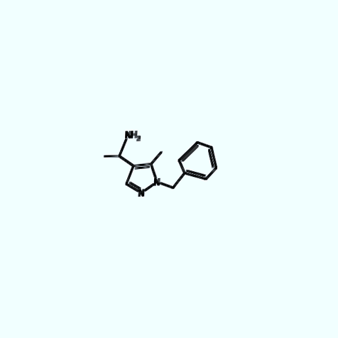 Cc1c(C(C)N)cnn1Cc1ccccc1